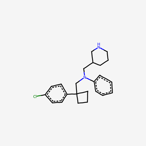 Clc1ccc(C2(CN(CC3CCCNC3)c3ccccc3)CCC2)cc1